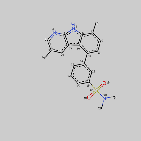 Cc1cnc2[nH]c3c(C)ccc(-c4cccc(S(=O)(=O)N(C)C)c4)c3c2c1